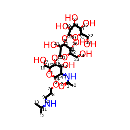 CC(=O)NC1[C@H](OCCCNC(C)C)OC(CO)[C@@H](O[C@@H]2OC(CO)[C@H](O)[C@H](O[C@@H]3OC(CO)[C@H](O)[C@H](O)C3O)C2O)[C@@H]1O